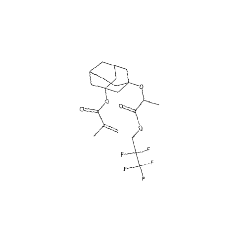 C=C(C)C(=O)OC12CC3CC(C1)CC(OC(C)C(=O)OCC(F)(F)C(F)(F)F)(C3)C2